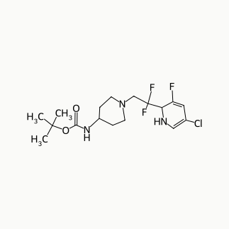 CC(C)(C)OC(=O)NC1CCN(CC(F)(F)C2NC=C(Cl)C=C2F)CC1